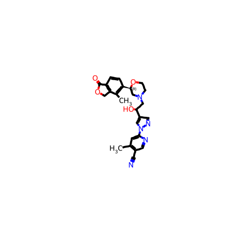 Cc1cc(-n2cc(C(O)CN3CCO[C@H](c4ccc5c(c4C)COC5=O)C3)cn2)ncc1C#N